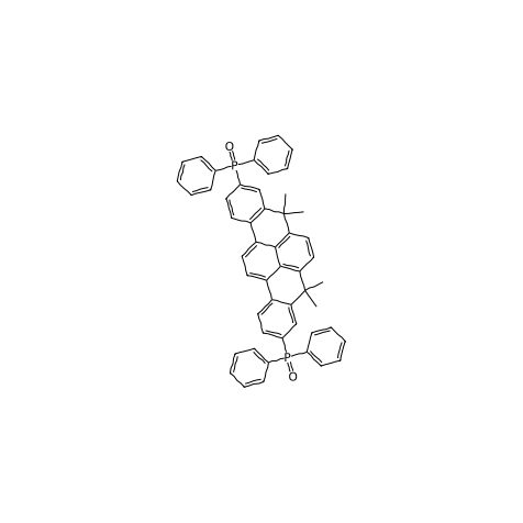 CC1(C)c2cc(P(=O)(c3ccccc3)c3ccccc3)ccc2-c2ccc3c4c(ccc1c24)C(C)(C)c1cc(P(=O)(c2ccccc2)c2ccccc2)ccc1-3